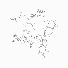 COCCCN1CCOc2ccc(C(O[C@H]3CNC[C@@H](O[Si](C(C)C)(C(C)C)C(C)C)[C@@H]3c3ccc([C@@H](OC)C4C[C@@H]4OC)cc3)S(=O)(=O)c3ccc(C)cc3)cc21